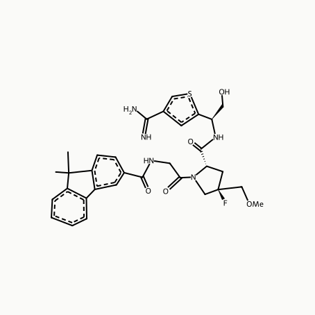 COC[C@@]1(F)C[C@@H](C(=O)N[C@H](CO)c2cc(C(=N)N)cs2)N(C(=O)CNC(=O)c2ccc3c(c2)-c2ccccc2C3(C)C)C1